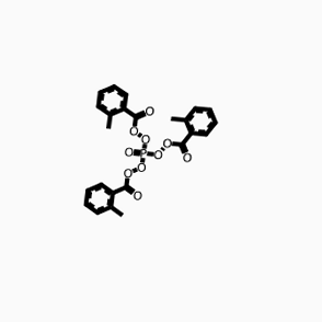 Cc1ccccc1C(=O)OOP(=O)(OOC(=O)c1ccccc1C)OOC(=O)c1ccccc1C